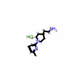 Cc1cccc(N2CCC(CCN)CC2)n1.Cl